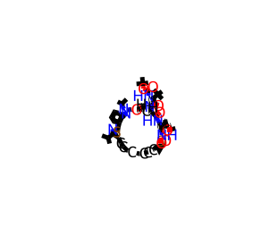 CC[C@@H]1C[C@@]12NC(=O)[C@@H]1C[C@H](CN1C(=O)[C@@H](NC(=O)OC(C)(C)C)C(C)(C)C)Oc1nc3c(cccc3n1C(C)C)-c1nc(C(C)C)c(s1)CCCCCCCCC1(CC1)S(=O)(=O)NC2=O